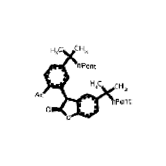 CCCCCC(C)(C)c1ccc2c(c1)C(c1cc(C(C)(C)CCCCC)ccc1C(C)=O)C(=O)O2